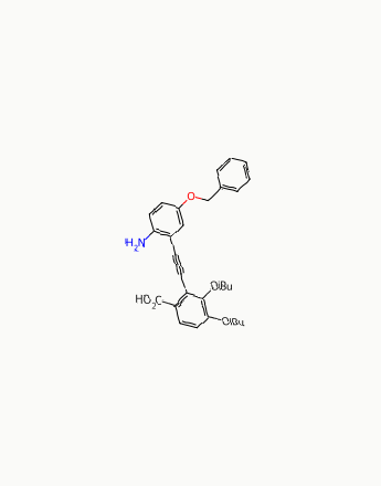 CC(C)COc1ccc(C(=O)O)c(C#Cc2cc(OCc3ccccc3)ccc2N)c1OCC(C)C